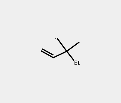 [CH2]C(C)(C=C)CC